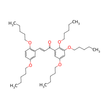 CCCCCOc1ccc(OCCCCC)c(C=CC(=O)c2cc(OCCCCC)cc(OCCCCC)c2OCCCCC)c1